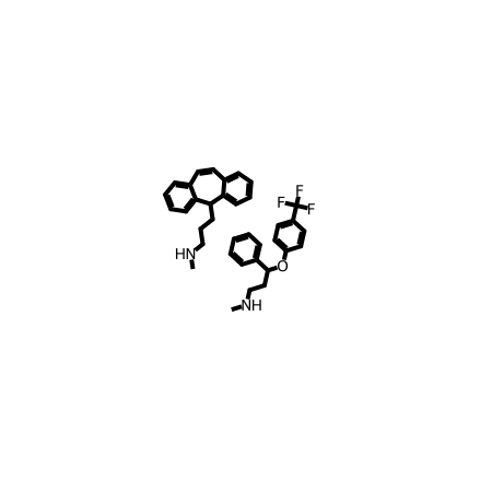 CNCCC(Oc1ccc(C(F)(F)F)cc1)c1ccccc1.CNCCCC1c2ccccc2C=Cc2ccccc21